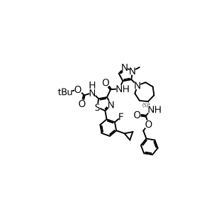 Cn1ncc(NC(=O)c2nc(-c3cccc(C4CC4)c3F)sc2NC(=O)OC(C)(C)C)c1N1CCC[C@H](NC(=O)OCc2ccccc2)CC1